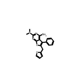 CN(C)c1nc(N)c2c(-c3ccccc3)c(Cc3ccco3)oc2n1